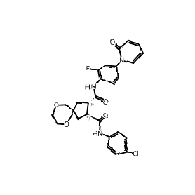 O=C(Nc1ccc(Cl)cc1)[C@H]1CC2(COCCO2)C[C@@H]1C(=O)Nc1ccc(-n2ccccc2=O)cc1F